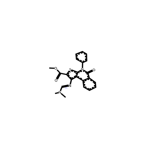 COC(=O)c1sc2c(c1/N=C/N(C)C)c1ccccc1c(=O)n2-c1ccccc1